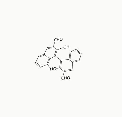 Cc1cccc2cc(C=O)c(O)c(-c3c(O)c(C=O)cc4ccccc34)c12